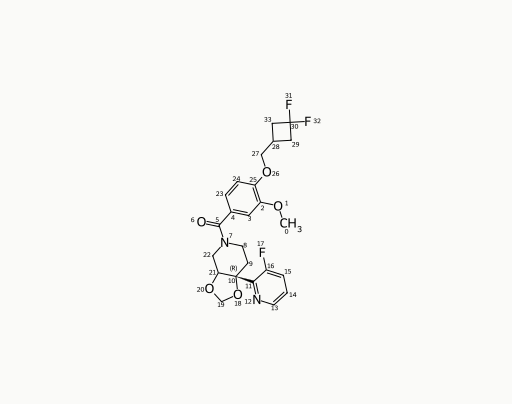 COc1cc(C(=O)N2CC[C@]3(c4ncccc4F)OCOC3C2)ccc1OCC1CC(F)(F)C1